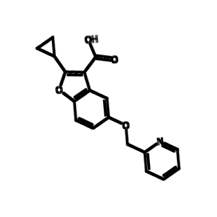 O=C(O)c1c(C2CC2)oc2ccc(OCc3ccccn3)cc12